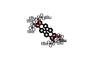 CC(C)(C)OC(=O)Oc1cc(OC(=O)OC(C)(C)C)cc(-c2ccc3c(c2)C2(c4cc(-c5cc(OC(=O)OC(C)(C)C)cc(OC(=O)OC(C)(C)C)c5)ccc4-3)c3cc(-c4cc(OC(=O)OC(C)(C)C)cc(OC(=O)OC(C)(C)C)c4)ccc3-c3ccc(-c4cc(OC(=O)OC(C)(C)C)cc(OC(=O)OC(C)(C)C)c4)cc32)c1